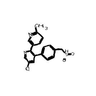 Cc1ccc(-c2ncc(Cl)cc2-c2ccc(C[SH](=O)=O)cc2)cn1